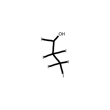 OC(I)C(I)(I)C(I)(I)I